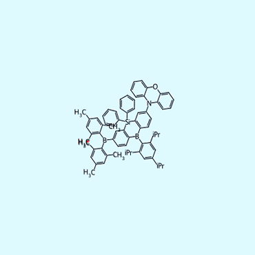 Cc1cc(C)c(B(c2ccc3c(c2)[Si](c2ccccc2)(c2ccccc2)c2cc(N4c5ccccc5Oc5ccccc54)ccc2B3c2c(C(C)C)cc(C(C)C)cc2C(C)C)c2c(C)cc(C)cc2C)c(C)c1